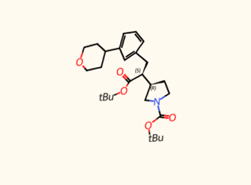 CC(C)(C)OC(=O)[C@@H](Cc1cccc(C2CCOCC2)c1)[C@H]1CCN(C(=O)OC(C)(C)C)C1